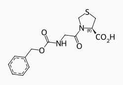 O=C(NCC(=O)N1CSC[C@H]1C(=O)O)OCc1ccccc1